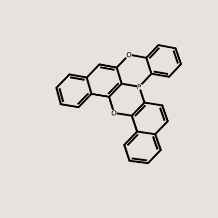 c1ccc2c(c1)Oc1cc3ccccc3c3c1P2c1ccc2ccccc2c1O3